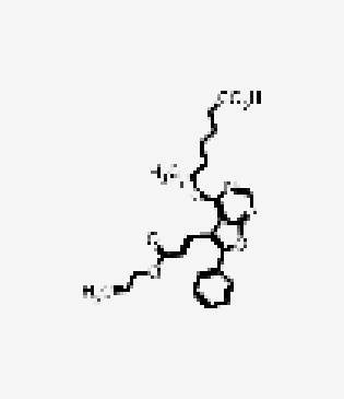 C=CCOC(=O)C=Cc1c(-c2ccccc2)oc2ncnc(O[C@H](C)CCCCC(=O)O)c12